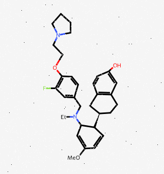 CCN(Cc1ccc(OCCN2CCCC2)c(F)c1)C1C=C(OC)C=CC1[C@@H]1CCc2cc(O)ccc2C1